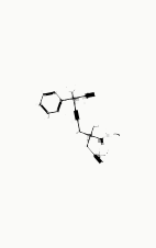 C#CCC(C)(CC#CC(O)(C#C)c1ccccc1)C(=O)OC